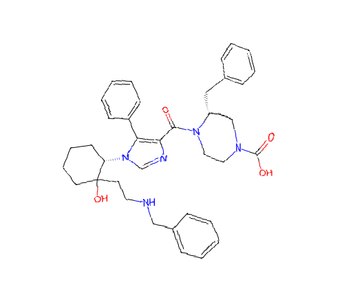 O=C(O)N1CCN(C(=O)c2ncn([C@H]3CCCCC3(O)CCNCc3ccccc3)c2-c2ccccc2)[C@H](Cc2ccccc2)C1